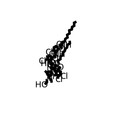 CCCCCCCCCCCCNn1c(/C(=N\c2ccc(N(CC)CCO)cc2C)C(=O)Nc2cc(S(=O)(=O)Nc3cc(S(=O)(=O)NCCCCCCCCCCCC)ccc3Cl)ccc2Cl)nc2c(Cl)c(Cl)c(Cl)cc2c1=O